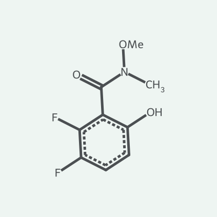 CON(C)C(=O)c1c(O)ccc(F)c1F